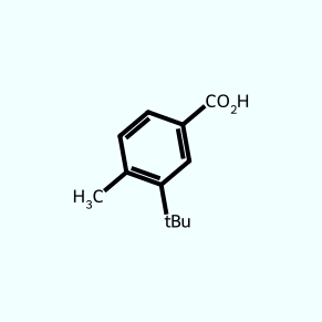 Cc1ccc(C(=O)O)cc1C(C)(C)C